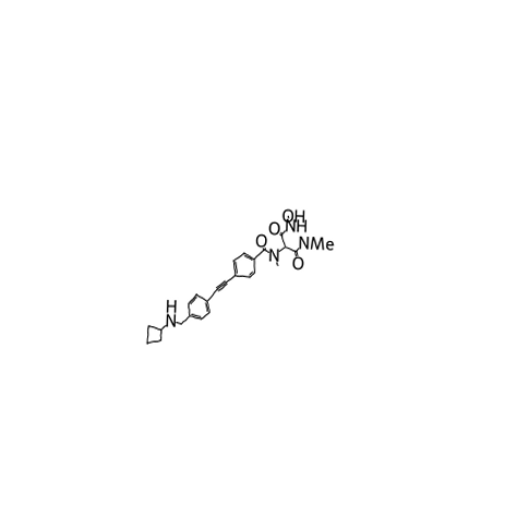 CNC(=O)C(C(=O)NO)N(C)C(=O)c1ccc(C#Cc2ccc(CNC3CCC3)cc2)cc1